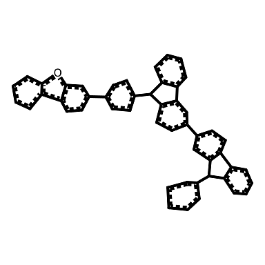 c1ccc(C2c3ccccc3-c3ccc(-c4ccc5c(c4)-c4ccccc4C5c4ccc(-c5ccc6c(c5)oc5ccccc56)cc4)cc32)cc1